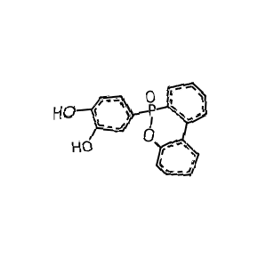 O=P1(c2ccc(O)c(O)c2)Oc2ccccc2-c2ccccc21